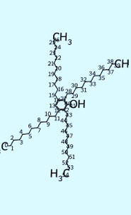 CCCCCCCCCCCCc1cc(CCCCCCCCCCCC)c(CCCCCCCCCCCC)c(O)c1CCCCCCCCCCCC